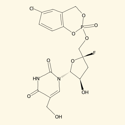 O=c1[nH]c(=O)n([C@@H]2O[C@](F)(COP3(=O)OCc4cc(Cl)ccc4O3)C[C@H]2O)cc1CO